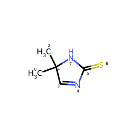 CC1(C)C=NC(=S)N1